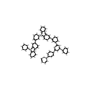 C1=CCC(c2ccc(-c3cc(-c4ccccc4)nc(-c4cccc(-c5ccc6c(c5)c5ccccc5n6-c5cccc(-c6ccc7c8ccccc8n(-c8ccccc8)c7c6)c5)c4)n3)cc2)C=C1